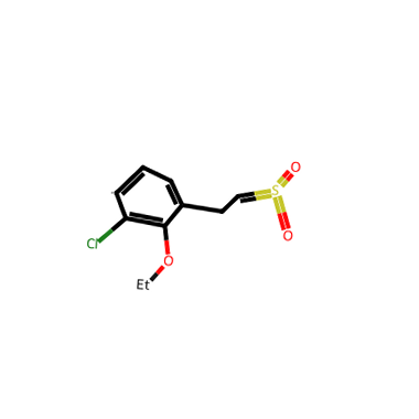 CCOc1c(Cl)[c]ccc1CC=S(=O)=O